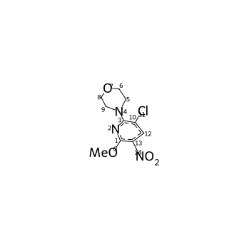 COc1nc(N2CCOCC2)c(Cl)cc1[N+](=O)[O-]